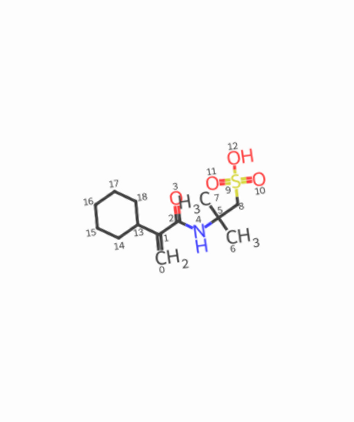 C=C(C(=O)NC(C)(C)CS(=O)(=O)O)C1CCCCC1